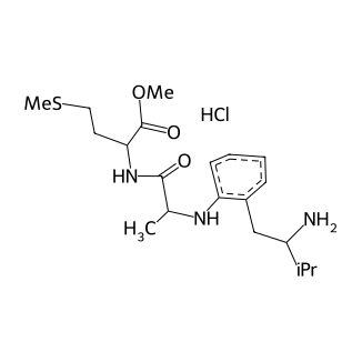 COC(=O)C(CCSC)NC(=O)C(C)Nc1ccccc1CC(N)C(C)C.Cl